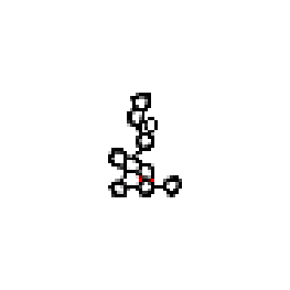 c1ccc(-c2ccc(-c3ccccc3-c3c4ccccc4c(-c4ccc5oc6c7ccccc7ccc6c5c4)c4ccccc34)cc2)cc1